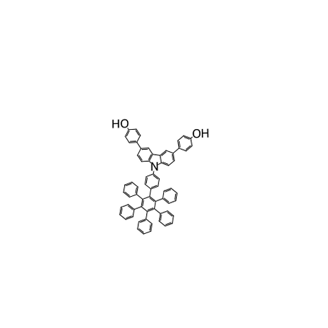 Oc1ccc(-c2ccc3c(c2)c2cc(-c4ccc(O)cc4)ccc2n3-c2ccc(-c3c(-c4ccccc4)c(-c4ccccc4)c(-c4ccccc4)c(-c4ccccc4)c3-c3ccccc3)cc2)cc1